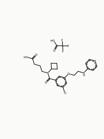 O=C(O)C(F)(F)F.O=C(O)CCCN(C(=O)c1cc(Cl)cc(OCCNc2ccncc2)c1)C1CCC1